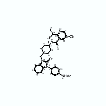 CC(=O)Nc1ccc(-n2c(=O)n(CC3CCC(NC(=O)c4cc(Cl)cnc4C(F)F)CC3)c3ccccc32)cn1